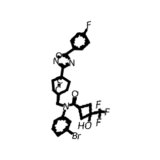 O=C(C1CC(O)(C(F)(F)F)C1)N(CC12CCC(c3noc(-c4ccc(F)cc4)n3)(CC1)CC2)c1cccc(Br)c1